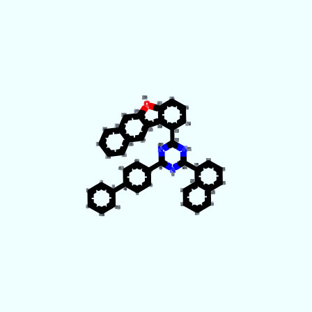 c1ccc(-c2ccc(-c3nc(-c4cccc5ccccc45)nc(-c4cccc5oc6cc7ccccc7cc6c45)n3)cc2)cc1